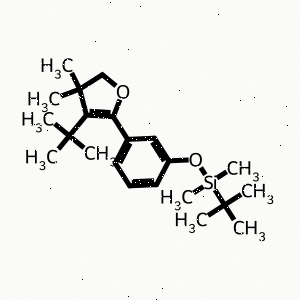 CC(C)(C)C1=C(c2cccc(O[Si](C)(C)C(C)(C)C)c2)OCC1(C)C